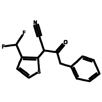 N#CC(C(=O)Cc1ccccc1)c1sccc1C(F)F